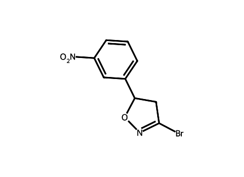 O=[N+]([O-])c1cccc(C2CC(Br)=NO2)c1